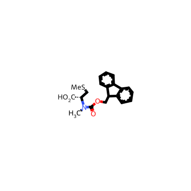 CSC[C@@H](C(=O)O)N(C)C(=O)OCC1c2ccccc2-c2ccccc21